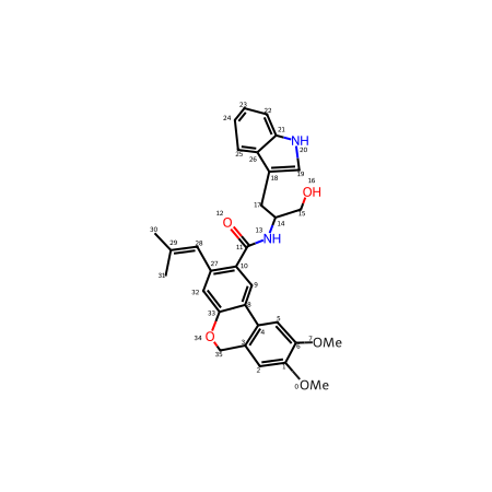 COc1cc2c(cc1OC)-c1cc(C(=O)NC(CO)Cc3c[nH]c4ccccc34)c(C=C(C)C)cc1OC2